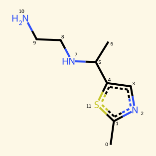 Cc1ncc(C(C)NCCN)s1